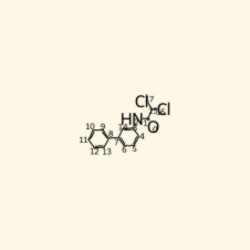 O=C(Nc1cccc(-c2ccccc2)c1)C(Cl)Cl